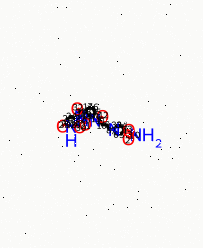 NC(=O)OC1CCN(CCCC(=O)Nc2cccc3c2C(=O)N(C2CCC(=O)NC2=O)C3=O)CC1